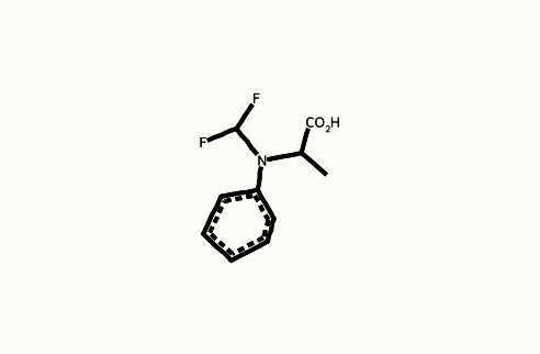 CC(C(=O)O)N(c1ccccc1)C(F)F